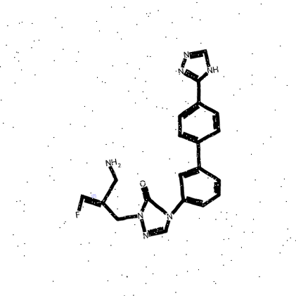 NC/C(=C/F)Cn1ncn(-c2cccc(-c3ccc(-c4nnc[nH]4)cc3)c2)c1=O